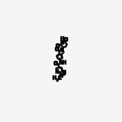 Cn1cnc2cc(C(=O)Nc3ccc4c(c3)CN(C3CCC(=O)NC3=O)C4=O)cnc21